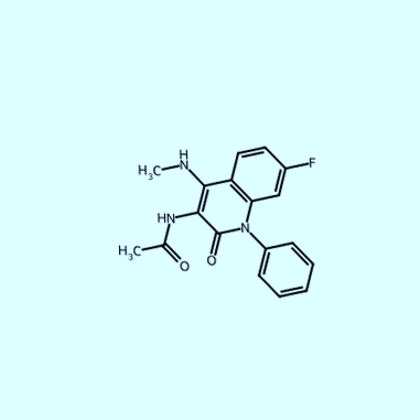 CNc1c(NC(C)=O)c(=O)n(-c2ccccc2)c2cc(F)ccc12